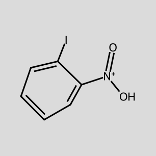 O=[N+](O)c1ccccc1I